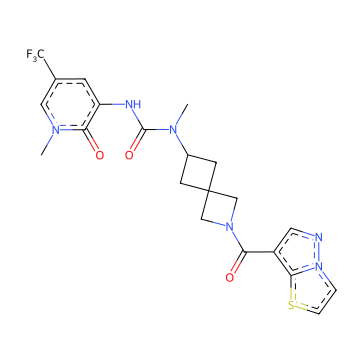 CN(C(=O)Nc1cc(C(F)(F)F)cn(C)c1=O)C1CC2(C1)CN(C(=O)c1cnn3ccsc13)C2